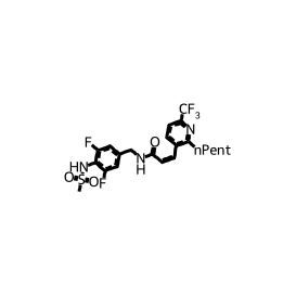 CCCCCc1nc(C(F)(F)F)ccc1/C=C\C(=O)NCc1cc(F)c(NS(C)(=O)=O)c(F)c1